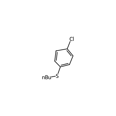 [CH2]CCCSc1ccc(Cl)cc1